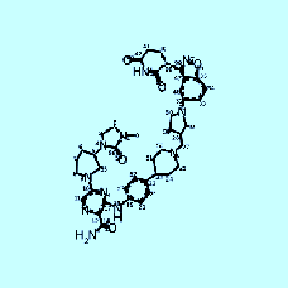 CN1CCN([C@@H]2CCCN(c3cnc(C(N)=O)c(Nc4ccc(C5CCN(CC6CCN(c7ccc8onc(C9CCC(=O)NC9=O)c8c7)C6)CC5)cc4)n3)C2)C1=O